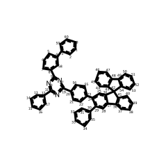 c1ccc(-c2cccc(-c3nc(-c4ccccc4)nc(-c4ccc(-c5cc6c(cc5-c5ccccc5)-c5ccccc5C65c6ccccc6-c6ccccc65)cc4)n3)c2)cc1